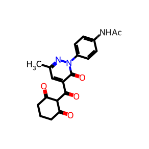 CC(=O)Nc1ccc(-n2nc(C)cc(C(=O)C3C(=O)CCCC3=O)c2=O)cc1